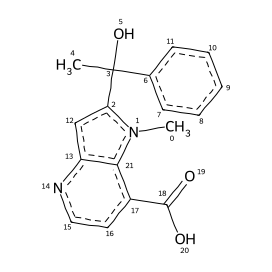 Cn1c(C(C)(O)c2ccccc2)cc2nccc(C(=O)O)c21